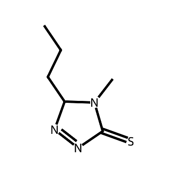 CCCC1N=NC(=S)N1C